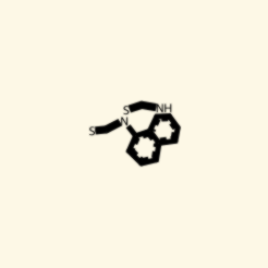 N=C=S.S=C=Nc1cccc2ccccc12